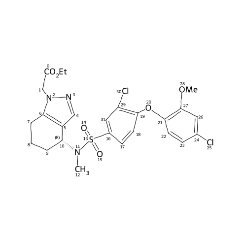 CCOC(=O)Cn1ncc2c1CCC[C@H]2N(C)S(=O)(=O)c1ccc(Oc2ccc(Cl)cc2OC)c(Cl)c1